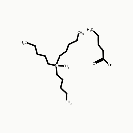 CCCCC(=O)[O-].CCCCC[N+](C)(CCCCC)CCCCC